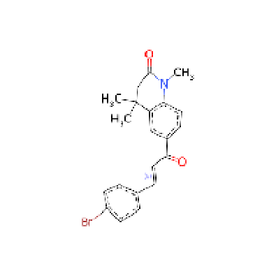 CN1C(=O)CC(C)(C)c2cc(C(=O)/C=C/c3ccc(Br)cc3)ccc21